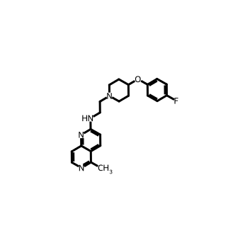 Cc1nccc2nc(NCCN3CCC(Oc4ccc(F)cc4)CC3)ccc12